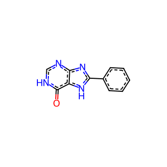 O=c1[nH]cnc2nc(-c3ccccc3)[nH]c12